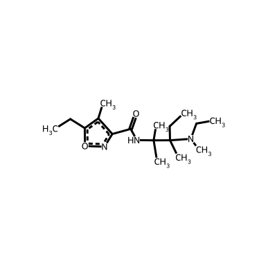 CCc1onc(C(=O)NC(C)(C)C(C)(CC)N(C)CC)c1C